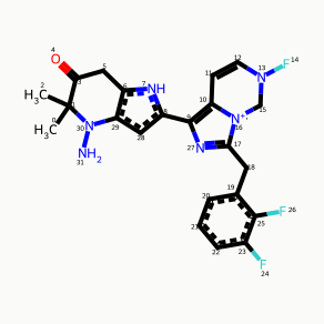 CC1(C)C(=O)Cc2[nH]c(C3=C4C=CN(F)C[N+]4C(Cc4cccc(F)c4F)=N3)cc2N1N